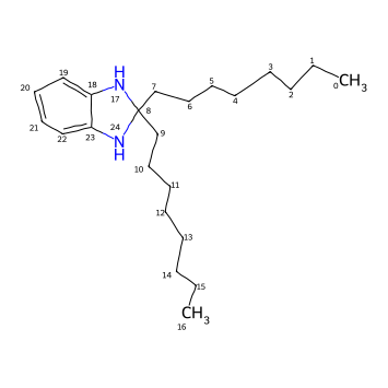 CCCCCCCCC1(CCCCCCCC)Nc2ccccc2N1